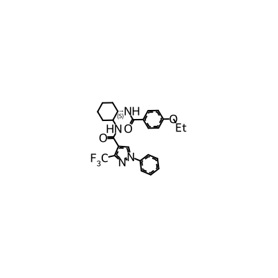 CCOc1ccc(C(=O)N[C@H]2CCCCC2NC(=O)c2cn(-c3ccccc3)nc2C(F)(F)F)cc1